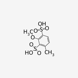 COc1c(S(=O)(=O)O)ccc(C)c1S(=O)(=O)O